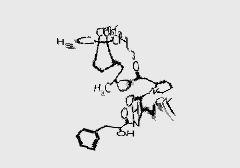 CC(CC1CCC(C)(C)C1(C)C)OC(=O)C1CCCN1C(=O)C(CC#N)NC(=O)C(O)Cc1ccccc1